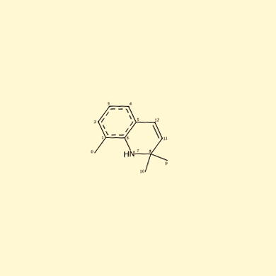 Cc1cccc2c1NC(C)(C)C=C2